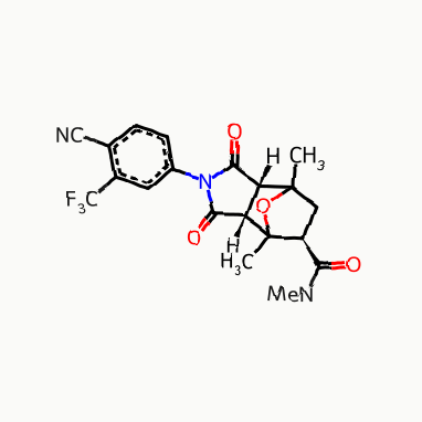 CNC(=O)[C@@H]1CC2(C)OC1(C)[C@@H]1C(=O)N(c3ccc(C#N)c(C(F)(F)F)c3)C(=O)[C@@H]12